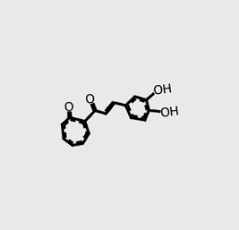 O=C(C=Cc1ccc(O)c(O)c1)c1cccccc1=O